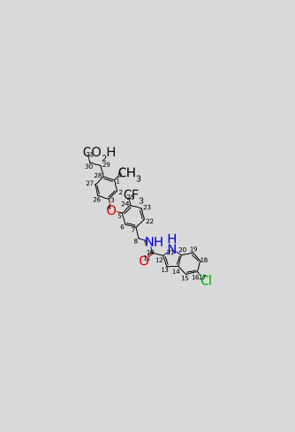 Cc1cc(Oc2cc(CNC(=O)c3cc4cc(Cl)ccc4[nH]3)ccc2C(F)(F)F)ccc1CCC(=O)O